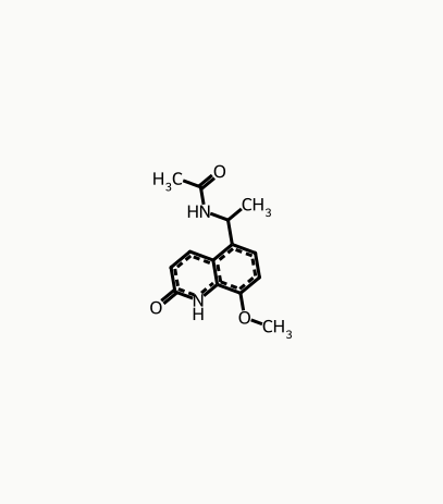 COc1ccc(C(C)NC(C)=O)c2ccc(=O)[nH]c12